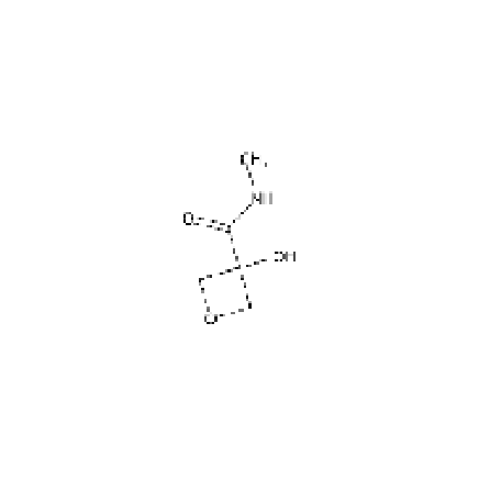 CNC(=O)C1(O)COC1